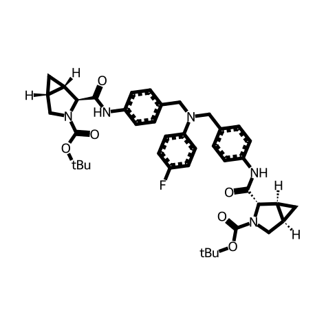 CC(C)(C)OC(=O)N1C[C@@H]2C[C@@H]2[C@H]1C(=O)Nc1ccc(CN(Cc2ccc(NC(=O)[C@@H]3[C@H]4C[C@H]4CN3C(=O)OC(C)(C)C)cc2)c2ccc(F)cc2)cc1